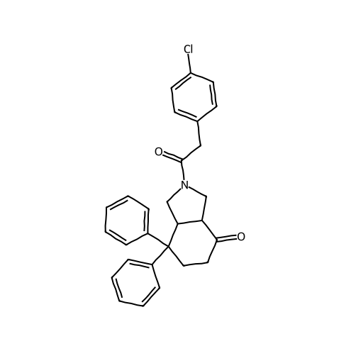 O=C1CCC(c2ccccc2)(c2ccccc2)C2CN(C(=O)Cc3ccc(Cl)cc3)CC12